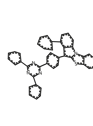 c1ccc(-c2nc(-c3ccccc3)nc(-c3ccc(-c4c5c(-c6ccccc6)cccc5n5c4sc4ccccc45)cc3)n2)cc1